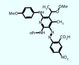 CCCNc1nc(Nc2ccc(OC)cc2)c(C(C)OOC)c(C)c1N=Nc1ccc([N+](=O)[O-])cc1C(=O)O